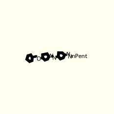 CCCCCN=Nc1ccc(/N=N/c2ccc(OCc3ccccc3)cc2)cc1